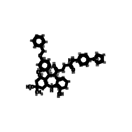 CC1(C)CC(=O)C2=C(C1)NC1=C(O)CCC=C1N(C(=O)CCC(=O)Nc1ccc(-n3cccc3)cc1)[C@@H]2c1ccc(OCc2ccccc2)cc1Cl